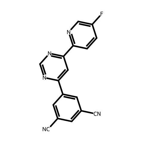 N#Cc1cc(C#N)cc(-c2cc(-c3ccc(F)cn3)ncn2)c1